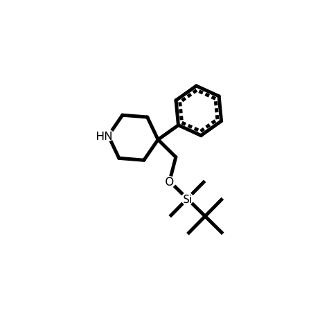 CC(C)(C)[Si](C)(C)OCC1(c2ccccc2)CCNCC1